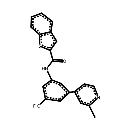 Cc1cc(-c2cc(NC(=O)c3cc4ccccc4s3)cc(C(F)(F)F)c2)ccn1